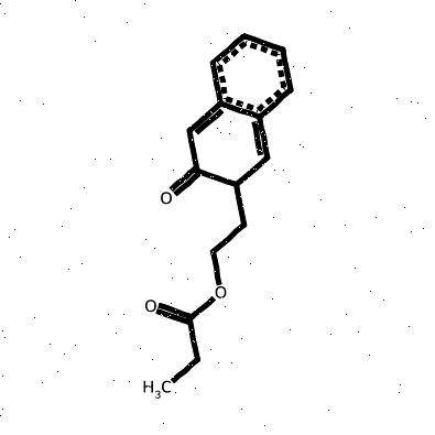 CCC(=O)OCCC1C=c2ccccc2=CC1=O